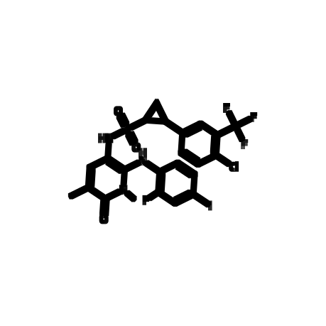 Cc1cc(NS(=O)(=O)C2CC2c2ccc(Cl)c(C(F)(F)F)c2)c(Nc2ccc(I)cc2F)n(C)c1=O